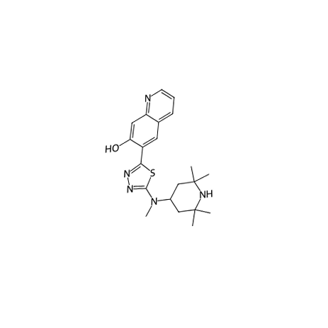 CN(c1nnc(-c2cc3cccnc3cc2O)s1)C1CC(C)(C)NC(C)(C)C1